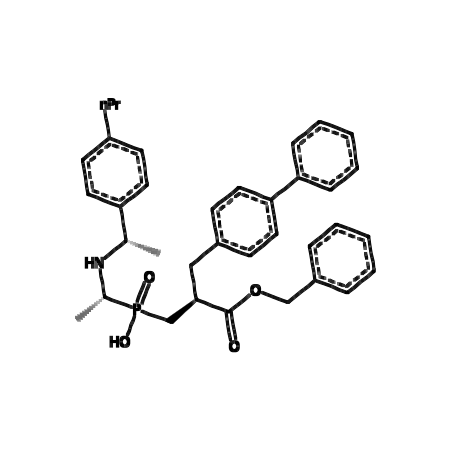 CCCc1ccc([C@H](C)N[C@@H](C)P(=O)(O)C[C@@H](Cc2ccc(-c3ccccc3)cc2)C(=O)OCc2ccccc2)cc1